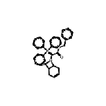 O=C(OCc1ccccc1)C(N1C(=O)C2CC=CCC21)=P(c1ccccc1)(c1ccccc1)c1ccccc1